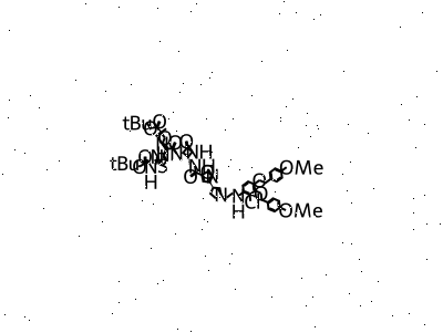 COc1ccc(COc2ccc(NCCN3CC[C@@H](c4cc(C(=O)NC[C@H]5NC(=O)[C@H]5NC(=O)/C(=N\OC(C)(C)C(=O)OC(C)(C)C)c5csc(NC(=O)OC(C)(C)C)n5)on4)C3)c(Cl)c2OCc2ccc(OC)cc2)cc1